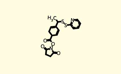 CC(SSc1ccccn1)C1=CCC(C(=O)ON2C(=O)CCC2=O)C=C1